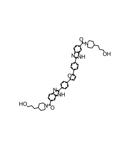 O=C(c1ccc2nc(-c3ccc(-c4ccc(-c5ccc(-c6nc7ccc(C(=O)N8CCC(CCCO)CC8)cc7[nH]6)cc5)o4)cc3)[nH]c2c1)N1CCC(CCCO)CC1